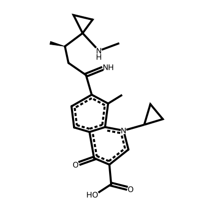 CNC1([C@H](C)CC(=N)c2ccc3c(=O)c(C(=O)O)cn(C4CC4)c3c2C)CC1